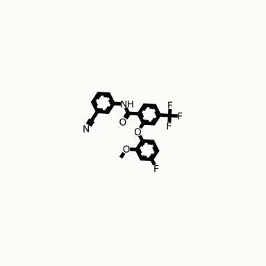 COc1cc(F)ccc1Oc1cc(C(F)(F)F)ccc1C(=O)Nc1cccc(C#N)c1